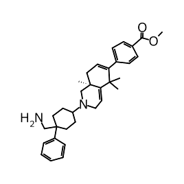 COC(=O)c1ccc(C2=CC[C@]3(C)CN(C4CCC(CN)(c5ccccc5)CC4)CC=C3C2(C)C)cc1